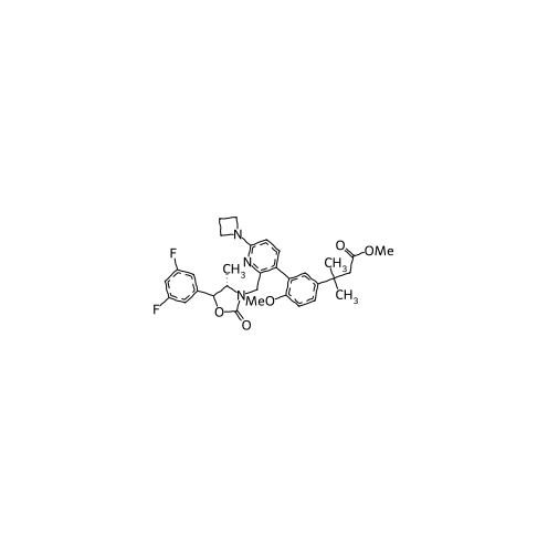 COC(=O)CC(C)(C)c1ccc(OC)c(-c2ccc(N3CCC3)nc2CN2C(=O)OC(c3cc(F)cc(F)c3)[C@@H]2C)c1